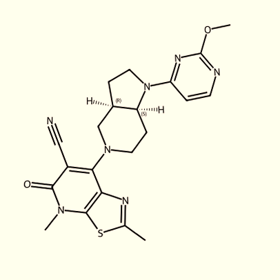 COc1nccc(N2CC[C@@H]3CN(c4c(C#N)c(=O)n(C)c5sc(C)nc45)CC[C@@H]32)n1